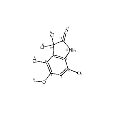 COc1cc(Cl)c2c(c1Cl)C(Cl)(Cl)C(=O)N2